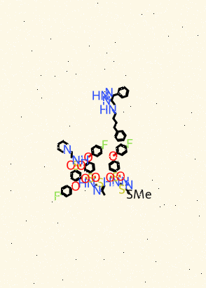 CSc1nnc(NS(=O)(=O)c2ccc(Oc3ccc(F)cc3)cc2)s1.Cc1csc(NS(=O)(=O)c2ccc(Oc3ccc(F)cc3)cc2)n1.O=S(=O)(NCCN1CCCCC1)c1ccc(Oc2ccc(F)cc2)cc1.c1ccc(CCCCNCc2n[nH]nc2-c2ccccc2)cc1